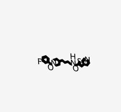 O=C(NCCCCC1CCN(C(=O)c2cccc(F)c2)CC1)C1=CC2CC=NC=C2S1